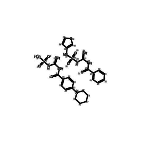 CS(=O)(=O)NC(=N)NC(=O)c1ccc(N2CCCCC2)cc1.N=C(NC(=O)c1ccccc1)NS(=O)(=O)Nc1ccsc1